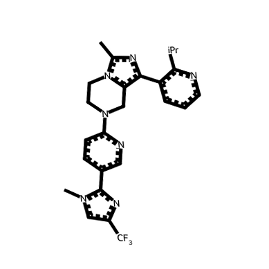 Cc1nc(-c2cccnc2C(C)C)c2n1CCN(c1ccc(-c3nc(C(F)(F)F)cn3C)cn1)C2